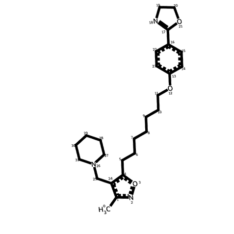 Cc1noc(CCCCCCCOc2ccc(C3=NCCO3)cc2)c1CN1CCCCC1